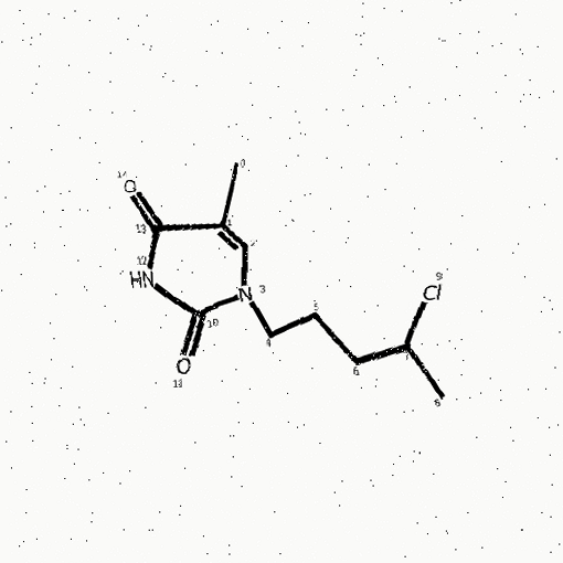 Cc1cn(CCCC(C)Cl)c(=O)[nH]c1=O